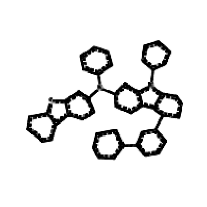 c1ccc(-c2cccc(-c3cccc4c3c3ccc(N(c5ccccc5)c5ccc6c(c5)sc5ccccc56)cc3n4-c3ccccc3)c2)cc1